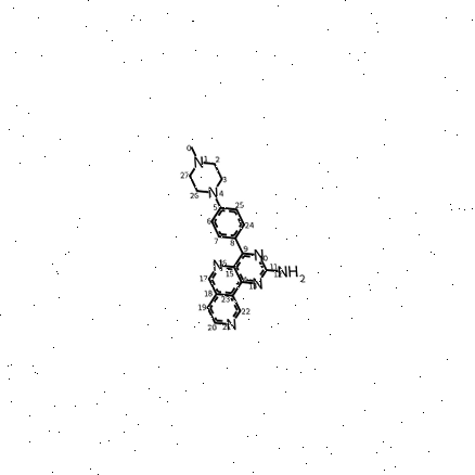 CN1CCN(c2ccc(-c3nc(N)nc4c3ncc3ccncc34)cc2)CC1